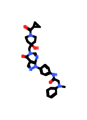 CN(CC(=O)Nc1ccc(-n2ncc3c(=O)n(CC4(O)CCN(C(=O)C5CC5)CC4)cnc32)cc1)c1ccccc1